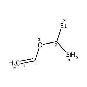 C=COC([SiH3])CC